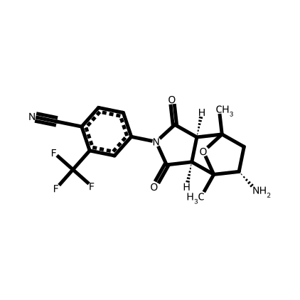 CC12C[C@H](N)C(C)(O1)[C@H]1C(=O)N(c3ccc(C#N)c(C(F)(F)F)c3)C(=O)[C@H]12